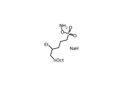 CCCCCCCCCC(CC)CCCS(=O)(=O)ON.[NaH]